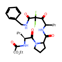 CCOC(=O)C(=O)N[C@H](C(=O)N1CCCC1C(=O)NC(C(=O)C(F)(F)C(=O)NCc1ccccc1)C(C)C)C(C)C